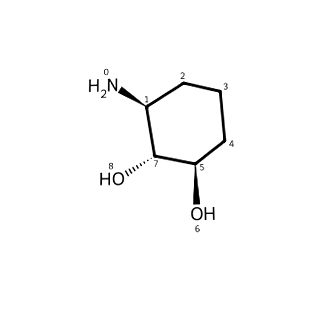 N[C@H]1CCC[C@@H](O)[C@@H]1O